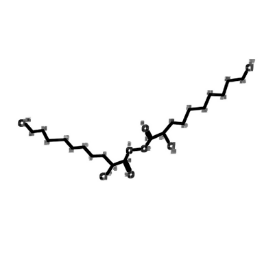 O=C(OOC(=O)C(Cl)CCCCCCCCCl)C(Cl)CCCCCCCCCl